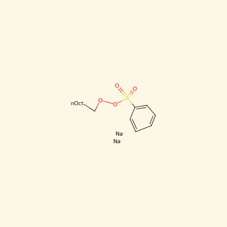 CCCCCCCCCOOS(=O)(=O)c1ccccc1.[Na].[Na]